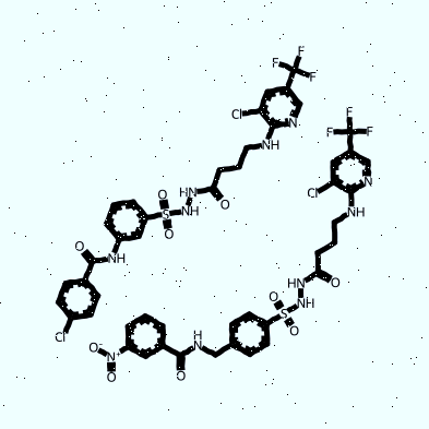 O=C(CCCNc1ncc(C(F)(F)F)cc1Cl)NNS(=O)(=O)c1ccc(CNC(=O)c2cccc([N+](=O)[O-])c2)cc1.O=C(CCCNc1ncc(C(F)(F)F)cc1Cl)NNS(=O)(=O)c1cccc(NC(=O)c2ccc(Cl)cc2)c1